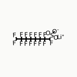 O=S(=O)([O-])C(F)C(F)(F)C(F)(F)C(F)(F)C(F)(F)C(F)(F)C(F)(F)C(F)F.[Li+]